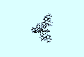 CCC(C)C1=Cc2c(-c3ccccc3-c3cccc4ccccc34)cccc2[CH]1[Hf]([c]1cccc2c1[SiH2]c1ccccc1-2)[CH]1C(C(C)CC)=Cc2c(-c3ccccc3-c3cccc4ccccc34)cccc21